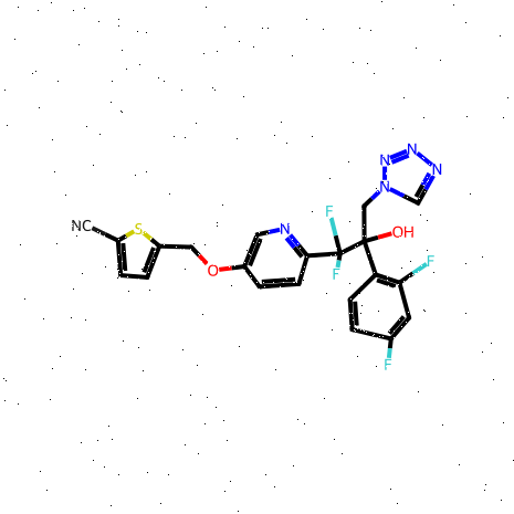 N#Cc1ccc(COc2ccc(C(F)(F)C(O)(Cn3cnnn3)c3ccc(F)cc3F)nc2)s1